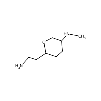 CNC1CCC(CCN)OC1